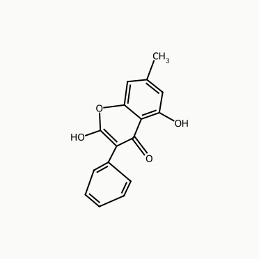 Cc1cc(O)c2c(=O)c(-c3ccccc3)c(O)oc2c1